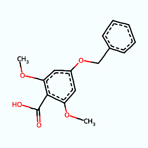 COc1cc(OCc2ccccc2)cc(OC)c1C(=O)O